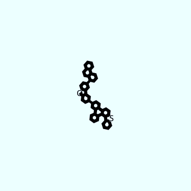 c1ccc2c(c1)ccc1c(-c3ccc4oc5ccc(-c6ccc7c(c6)c6ccccc6c6c7ccc7sc8ccccc8c76)cc5c4c3)cccc12